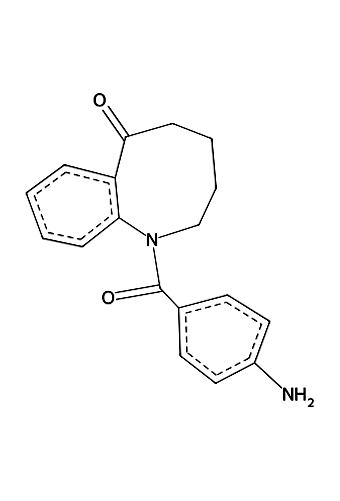 Nc1ccc(C(=O)N2CCCCC(=O)c3ccccc32)cc1